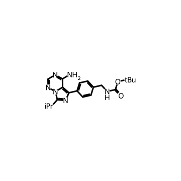 CC(C)c1nc(-c2ccc(CNC(=O)OC(C)(C)C)cc2)c2c(N)ncnn12